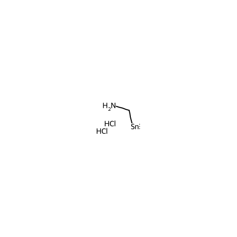 Cl.Cl.N[CH2][Sn]